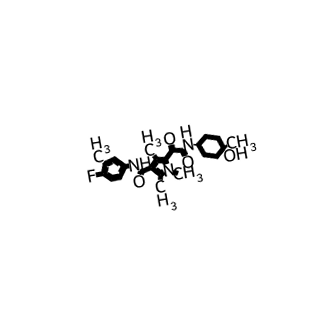 Cc1cc(NC(=O)c2c(C)c(C(=O)C(=O)N[C@H]3CC[C@@](C)(O)CC3)n(C)c2C)ccc1F